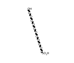 O=S(=O)(O)OCCOCCOCCOCCOCCOCCOCCOCCOCCOCCOCCO